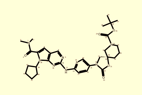 CN(C)C(=O)c1cc2cnc(Nc3ccc(N4C[C@]5(CCCN(C(=O)OC(C)(C)C)C5)OC4=O)cn3)nc2n1C1CCCC1